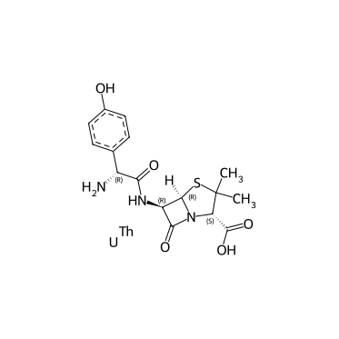 CC1(C)S[C@@H]2[C@H](NC(=O)[C@H](N)c3ccc(O)cc3)C(=O)N2[C@H]1C(=O)O.[Th].[U]